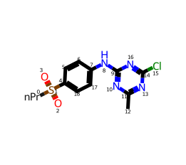 CCCS(=O)(=O)c1ccc(Nc2nc(C)nc(Cl)n2)cc1